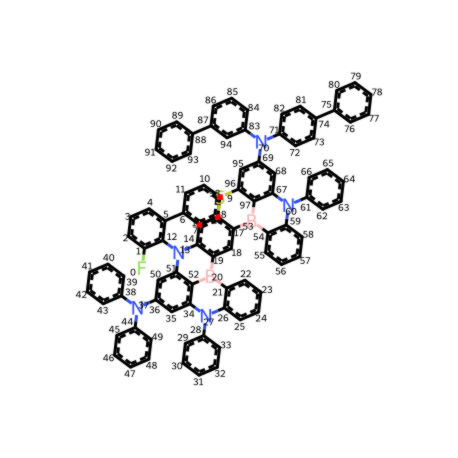 Fc1cccc(-c2ccccc2)c1N1c2cc3c(cc2B2c4ccccc4N(c4ccccc4)c4cc(N(c5ccccc5)c5ccccc5)cc1c42)B1c2ccccc2N(c2ccccc2)c2cc(N(c4ccc(-c5ccccc5)cc4)c4cccc(-c5ccccc5)c4)cc(c21)S3